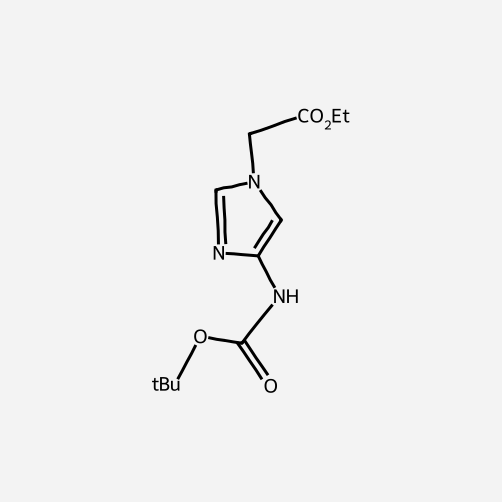 CCOC(=O)Cn1cnc(NC(=O)OC(C)(C)C)c1